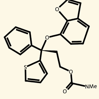 CNC(=O)OCC[C@](Oc1cccc2ccoc12)(c1ccccc1)c1cccs1